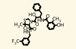 Cc1c(O)cccc1C(=O)NC(Cc1ccccc1)C(O)C(=O)N1CSC(C)(C)C1C(=O)NCc1cccc(C(F)(F)F)c1